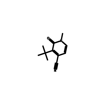 Cn1ccc(C#N)c(C(C)(C)C)c1=O